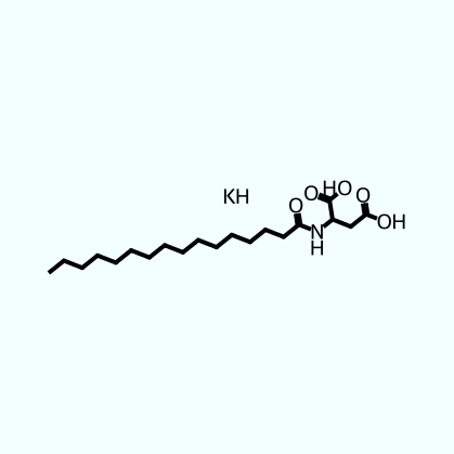 CCCCCCCCCCCCCCCC(=O)NC(CC(=O)O)C(=O)O.[KH]